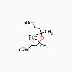 CCCCCCCCCCCCC(C)(C)OC(C)(C)CCCCCCCCCCCC